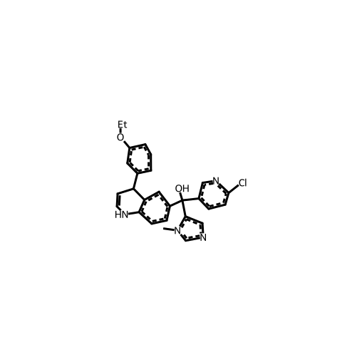 CCOc1cccc(C2C=CNc3ccc(C(O)(c4ccc(Cl)nc4)c4cncn4C)cc32)c1